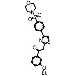 CCOc1cccc(C(=O)Cc2nc(-c3ccc(S(=O)(=O)N4CCOCC4)cc3)cs2)c1